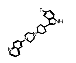 Fc1ccc2[nH]cc(C3CCC(N4CCN(c5ccc6ncccc6c5)CC4)CC3)c2c1